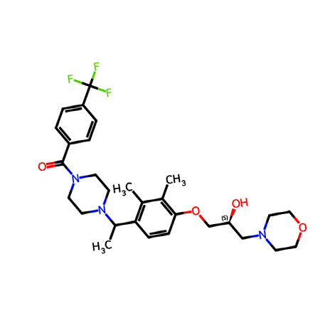 Cc1c(OC[C@@H](O)CN2CCOCC2)ccc(C(C)N2CCN(C(=O)c3ccc(C(F)(F)F)cc3)CC2)c1C